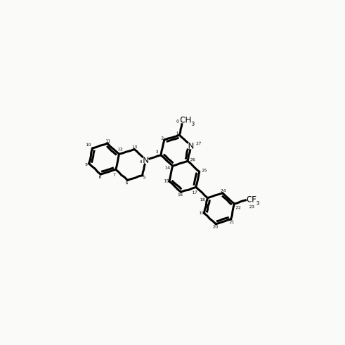 Cc1cc(N2CCc3ccccc3C2)c2ccc(-c3cccc(C(F)(F)F)c3)cc2n1